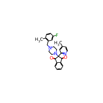 Cc1ccnc(C2(N3CCN(Cc4cc(F)ccc4C)CC3)C(=O)c3ccccc3C2=O)c1